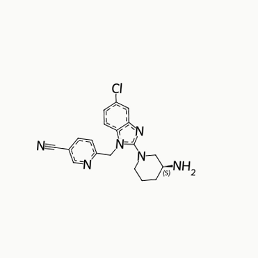 N#Cc1ccc(Cn2c(N3CCC[C@H](N)C3)nc3cc(Cl)ccc32)nc1